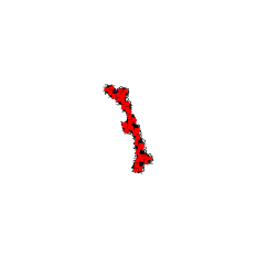 C(=C\c1ccc2c(c1)C1(CCCCC1)c1cc(/C=C/c3ccc(-c4ccc5c(c4)c4ccccc4n5-c4ccc5ccccc5c4)cc3)ccc1-2)/c1ccc(-c2ccc3c(c2)c2ccccc2n3-c2ccc3ccccc3c2)cc1